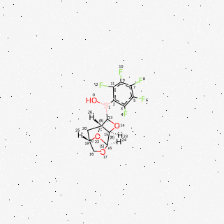 OB(c1c(F)c(F)c(F)c(F)c1F)C1O[C@H]2[C@H]3OC[C@H](C[C@H]12)O3